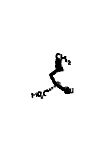 C=CC[C@@H](C(=O)O)C(C)(C)C